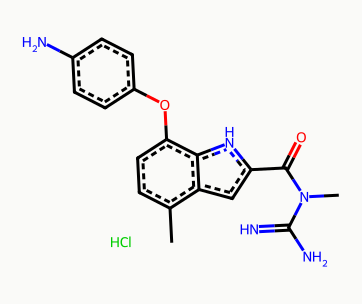 Cc1ccc(Oc2ccc(N)cc2)c2[nH]c(C(=O)N(C)C(=N)N)cc12.Cl